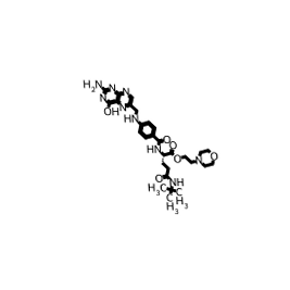 CC(C)(C)NC(=O)CC[C@H](NC(=O)c1ccc(NCc2cnc3nc(N)nc(O)c3n2)cc1)C(=O)OCCN1CCOCC1